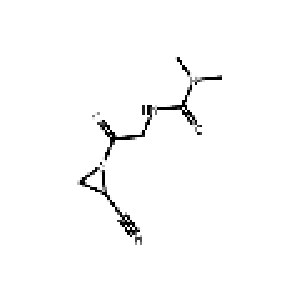 CN(C)C(=O)NCC(=O)N1CC1C#N